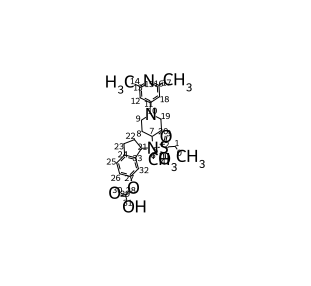 CCS(=O)(=O)[N+](C)(C1CCN(c2cc(C)nc(C)c2)CC1)C1CCc2ccc(OC(=O)O)cc21